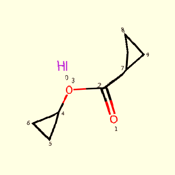 I.O=C(OC1CC1)C1CC1